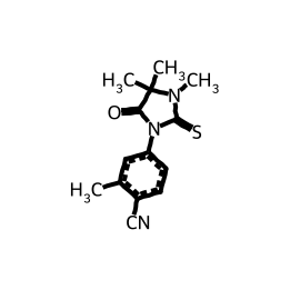 Cc1cc(N2C(=O)C(C)(C)N(C)C2=S)ccc1C#N